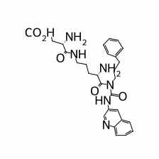 N[C@@H](CC(=O)O)C(=O)NCCC[C@H](N)C(=O)N(CCCc1ccccc1)C(=O)Nc1cnc2ccccc2c1